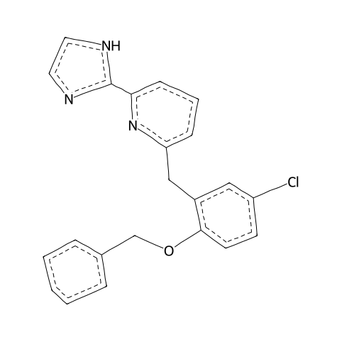 Clc1ccc(OCc2ccccc2)c(Cc2cccc(-c3ncc[nH]3)n2)c1